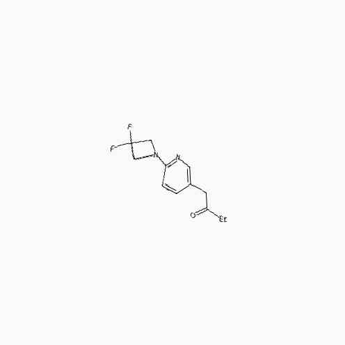 CCC(=O)Cc1ccc(N2CC(F)(F)C2)nc1